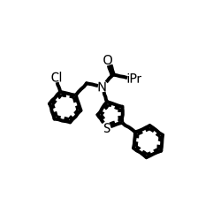 CC(C)C(=O)N(Cc1ccccc1Cl)c1csc(-c2ccccc2)c1